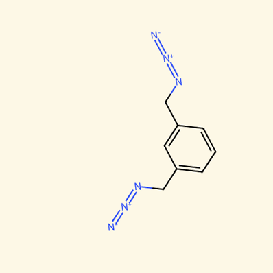 [N-]=[N+]=NCc1cccc(CN=[N+]=[N-])c1